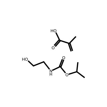 C=C(C)C(=O)O.CC(C)OC(=O)NCCO